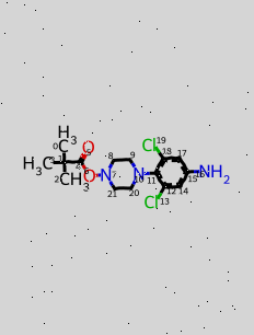 CC(C)(C)C(=O)ON1CCN(c2c(Cl)cc(N)cc2Cl)CC1